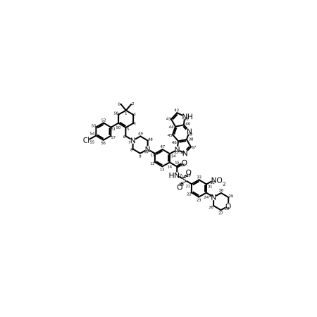 CC1(C)CCC(CN2CCN(c3ccc(C(=O)NS(=O)(=O)c4ccc(N5CCOCC5)c([N+](=O)[O-])c4)c(-n4ncc5nc6[nH]ccc6cc54)c3)CC2)=C(c2ccc(Cl)cc2)C1